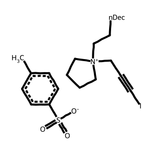 CCCCCCCCCCCC[N+]1(CC#CI)CCCC1.Cc1ccc(S(=O)(=O)[O-])cc1